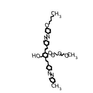 CCCCCCOc1ccc(/N=N/c2ccc(/C=C/c3cc(CO)c(/C=C/c4ccc(/N=N/c5ccc(C)cc5)cc4)cc3OOCCOCCOC)cc2)cc1